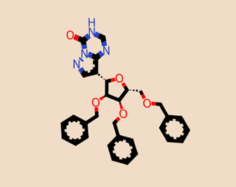 O=c1[nH]cnc2c([C@@H]3O[C@H](COCc4ccccc4)[C@@H](OCc4ccccc4)[C@H]3OCc3ccccc3)cnn12